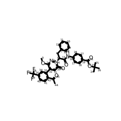 COc1nn(C(Cc2ccccc2)C(=O)Nc2ccc(C(=O)OC(C)(C)C)cc2)c(=O)cc1-c1cc(C(F)(F)F)ccc1C(C)=O